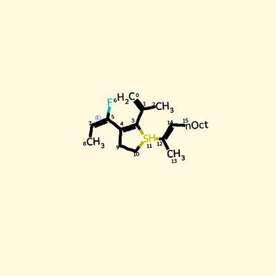 C=C(C)C1=C(/C(F)=C\C)CC[SH]1C(C)=CCCCCCCCC